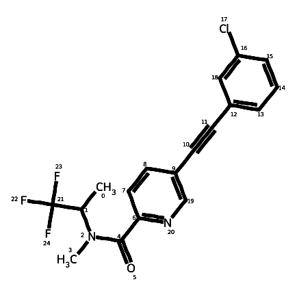 CC(N(C)C(=O)c1ccc(C#Cc2cccc(Cl)c2)cn1)C(F)(F)F